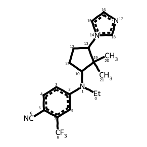 CCN(c1ccc(C#N)c(C(F)(F)F)c1)C1CCC(n2ccnc2)C1(C)C